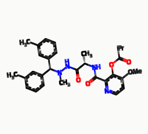 COc1ccnc(C(=O)N[C@@H](C)C(=O)NN(C)C(c2cccc(C)c2)c2cccc(C)c2)c1OC(=O)C(C)C